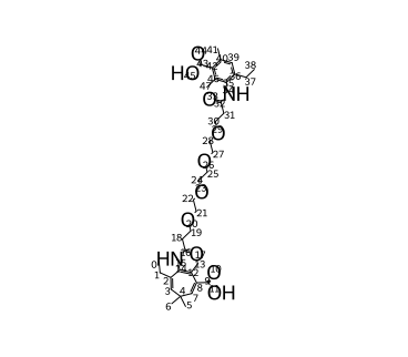 CCC1=CC(C)(C)C=C(C(=O)O)C(C)=C1NC(=O)CCOCCOCCOCCOCCC(=O)Nc1c(CC)cc(C)c(C(=O)O)c1C